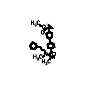 CCOC(=O)C1(c2ccc(-c3ccc(-c4onc(C)c4N(CC)CCCc4ccccc4)cc3)cc2)CC1